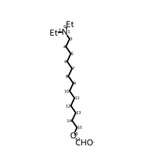 CCN(CC)CCCCCCCCCCCCCO[C]=O